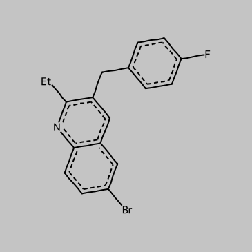 CCc1nc2ccc(Br)cc2cc1Cc1ccc(F)cc1